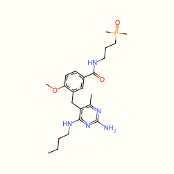 CCCCNc1nc(N)nc(C)c1Cc1cc(C(=O)NCCCP(C)(C)=O)ccc1OC